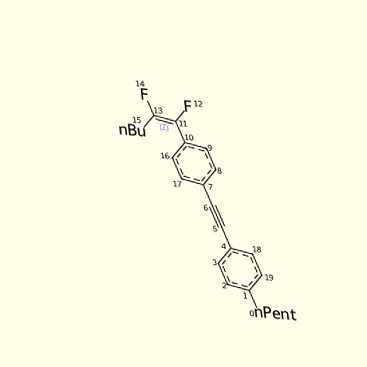 CCCCCc1ccc(C#Cc2ccc(/C(F)=C(/F)CCCC)cc2)cc1